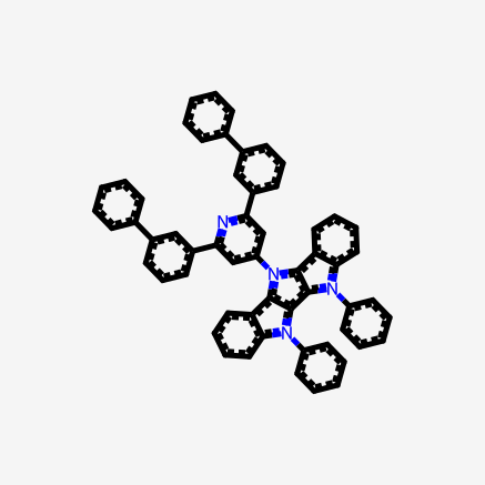 c1ccc(-c2cccc(-c3cc(-n4c5c6ccccc6n(-c6ccccc6)c5c5c4c4ccccc4n5-c4ccccc4)cc(-c4cccc(-c5ccccc5)c4)n3)c2)cc1